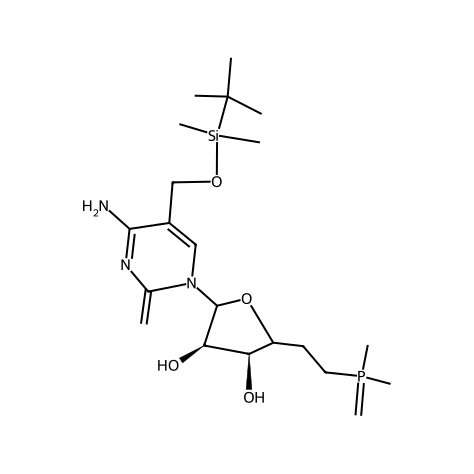 C=C1N=C(N)C(CO[Si](C)(C)C(C)(C)C)=CN1C1OC(CCP(=C)(C)C)[C@@H](O)[C@H]1O